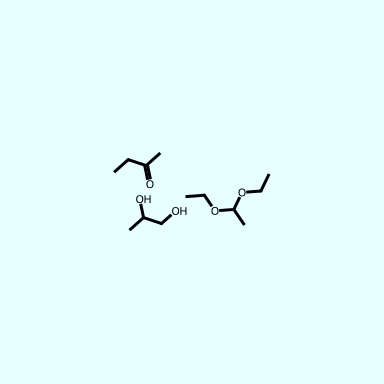 CC(O)CO.CCC(C)=O.CCOC(C)OCC